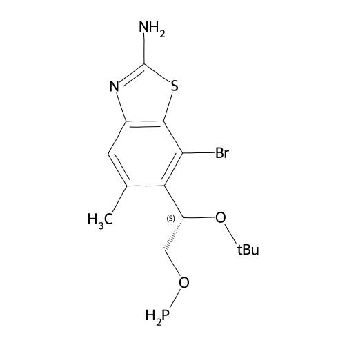 Cc1cc2nc(N)sc2c(Br)c1[C@@H](COP)OC(C)(C)C